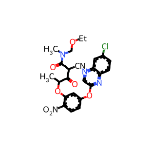 CCOCN(C)C(=O)C(C#N)C(=O)C(C)Oc1cc(Oc2cnc3cc(Cl)ccc3n2)ccc1[N+](=O)[O-]